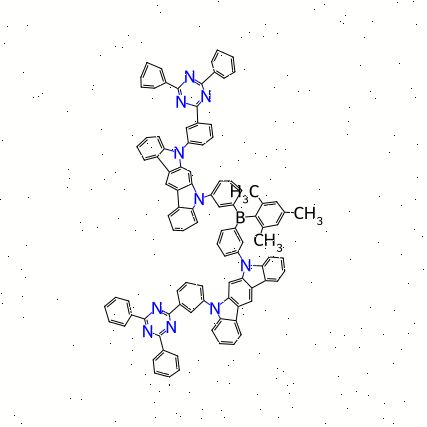 Cc1cc(C)c(B(c2cccc(-n3c4ccccc4c4cc5c6ccccc6n(-c6cccc(-c7nc(-c8ccccc8)nc(-c8ccccc8)n7)c6)c5cc43)c2)c2cccc(-n3c4ccccc4c4cc5c6ccccc6n(-c6cccc(-c7nc(-c8ccccc8)nc(-c8ccccc8)n7)c6)c5cc43)c2)c(C)c1